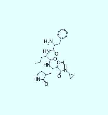 CCCC(NC(=O)C(N)Cc1ccccc1)C(=O)N[C@@H](C[C@@H]1CCNC1=O)C(O)C(=O)NC1CC1